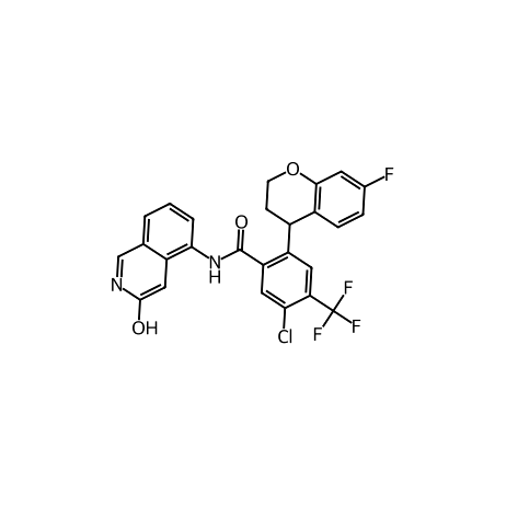 O=C(Nc1cccc2cnc(O)cc12)c1cc(Cl)c(C(F)(F)F)cc1C1CCOc2cc(F)ccc21